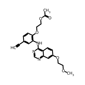 C#Cc1ccc(OCCOC(C)=O)c(Nc2ncnc3cc(OCCOC)ccc23)c1